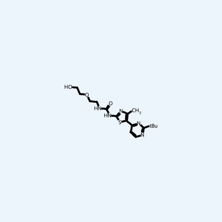 Cc1nc(NC(=O)NCCOCCO)sc1-c1ccnc(C(C)(C)C)n1